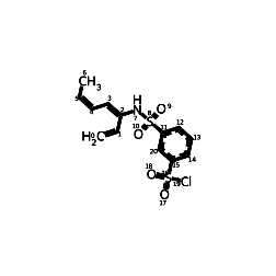 C=C/C(=C\C=C/C)NS(=O)(=O)c1cccc(S(=O)(=O)Cl)c1